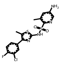 Cc1cc(N)cnc1S(=O)(=O)Nc1nc(-c2ccc(F)c(Cl)c2)c(C)s1